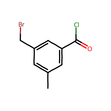 Cc1cc(CBr)cc(C(=O)Cl)c1